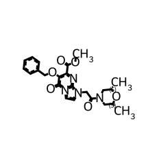 COC(=O)c1nc2n(CC(=O)N3C[C@H](C)O[C@@H](C)C3)ccn2c(=O)c1OCc1ccccc1